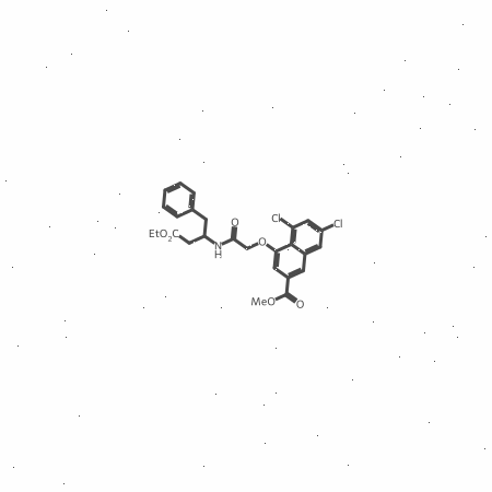 CCOC(=O)CC(Cc1ccccc1)NC(=O)COc1cc(C(=O)OC)cc2cc(Cl)cc(Cl)c12